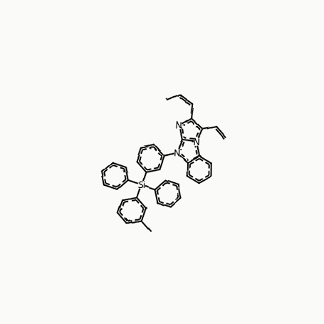 C=Cc1c(/C=C\C)nc2n(-c3cccc([Si](c4ccccc4)(c4ccccc4)c4cccc(C)c4)c3)c3ccccc3n12